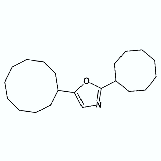 c1nc(C2CCCCCCC2)oc1C1CCCCCCCCC1